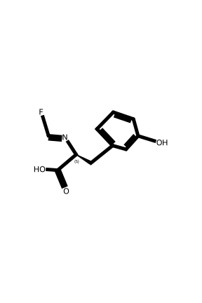 O=C(O)[C@H](Cc1cccc(O)c1)N=CF